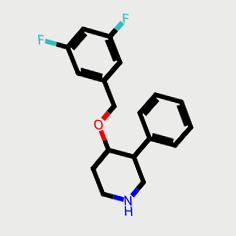 Fc1cc(F)cc(COC2CCNCC2c2ccccc2)c1